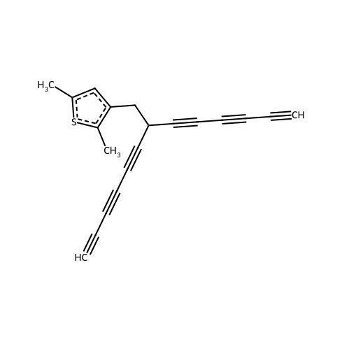 C#CC#CC#CC(C#CC#CC#C)Cc1cc(C)sc1C